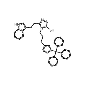 Sc1nnc(CCc2c[nH]c3ccccc23)n1CCCc1cn(C(c2ccccc2)(c2ccccc2)c2ccccc2)cn1